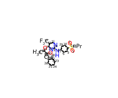 CCCS(=O)(=O)c1ccc(Nc2ncc(C(F)(F)F)c(O[C@H](C)[C@@H](C)OCc3ccccc3)n2)cc1